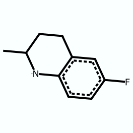 CC1CCc2cc(F)ccc2[N]1